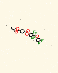 C=CC1COC(C2CCC(C(=O)Oc3cc(F)c(C(F)(F)Oc4ccc(F)c(F)c4)c(F)c3)CC2)OC1